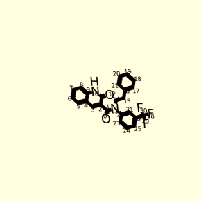 O=C(c1cc2ccccc2[nH]c1=O)N(CCc1ccccc1)c1cccc(C(F)(F)F)c1